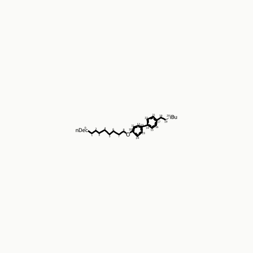 CCCCCCCCCCCCCCCCCCOc1ccc(-c2ccc(CC[C@@H](C)CC)cc2)cc1